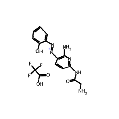 NCC(=O)Nc1ccc(/N=N/c2ccccc2O)c(N)n1.O=C(O)C(F)(F)F